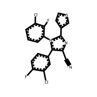 N#Cc1nc(-c2ccsc2)n(-c2cccc(Cl)c2F)c1-c1ccc(F)c(Cl)c1